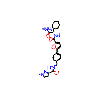 CNC(=O)[C@@H](NC(=O)c1ccc(-c2ccc(CNC(=O)c3ccn(C)n3)cc2)o1)C1CCCCC1